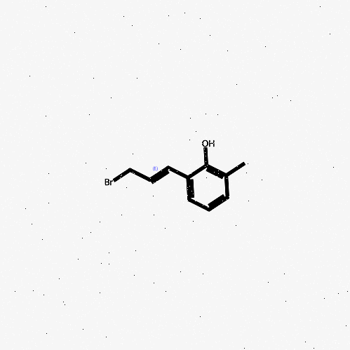 Cc1cccc(/C=C/CBr)c1O